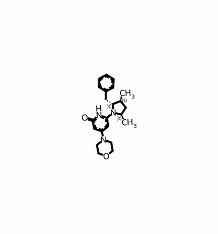 C[C@@H]1C[C@H](C)[C@@H](Cc2ccccc2)N1c1cc(N2CCOCC2)cc(=O)[nH]1